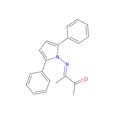 CC(=O)C(C)=Nn1c(-c2ccccc2)ccc1-c1ccccc1